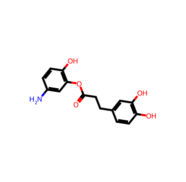 Nc1ccc(O)c(OC(=O)CCc2ccc(O)c(O)c2)c1